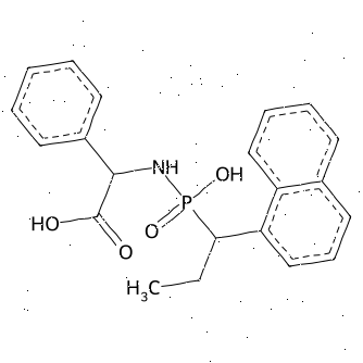 CCC(c1cccc2ccccc12)P(=O)(O)NC(C(=O)O)c1ccccc1